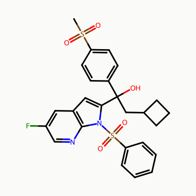 CS(=O)(=O)c1ccc(C(O)(CC2CCC2)c2cc3cc(F)cnc3n2S(=O)(=O)c2ccccc2)cc1